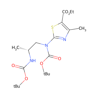 CCOC(=O)c1sc(N(C[C@@H](C)NC(=O)OC(C)(C)C)C(=O)OC(C)(C)C)nc1C